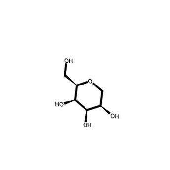 OC[C@H]1OC[C@@H](O)[C@@H](O)[C@H]1O